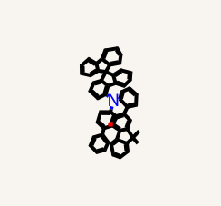 CC1(C)c2ccccc2-c2ccc(-c3ccccc3N(c3ccc(-c4ccccc4)cc3)c3cccc4c3-c3ccccc3C43c4ccccc4-c4ccccc43)cc21